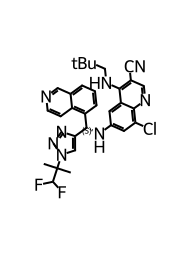 CC(C)(C)CNc1c(C#N)cnc2c(Cl)cc(N[C@H](c3cn(C(C)(C)C(F)F)nn3)c3cccc4cnccc34)cc12